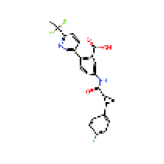 CC(F)(F)c1ccc(-c2ccc(NC(=O)C3CC3c3ccc(Cl)cc3)cc2C(=O)O)cn1